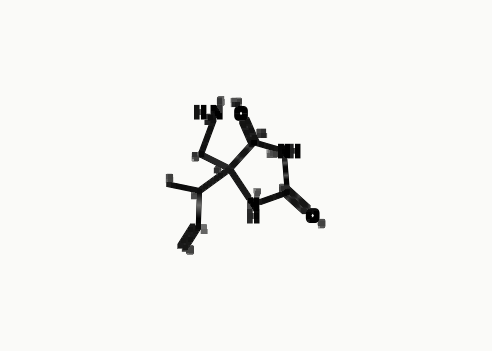 C=CC(C)C1(CN)NC(=O)NC1=O